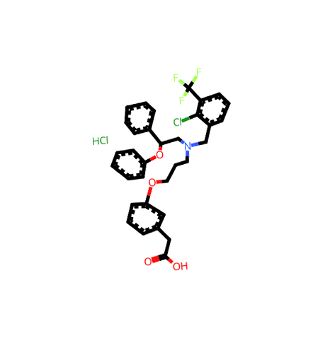 Cl.O=C(O)Cc1cccc(OCCCN(Cc2cccc(C(F)(F)F)c2Cl)CC(Oc2ccccc2)c2ccccc2)c1